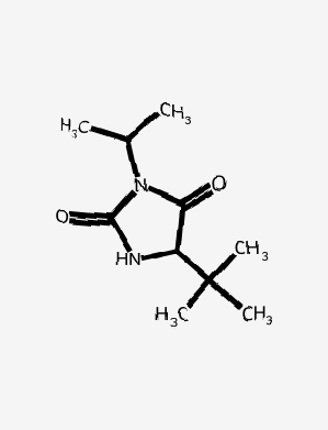 CC(C)N1C(=O)NC(C(C)(C)C)C1=O